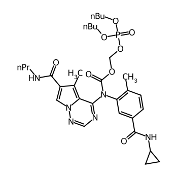 CCCCOP(=O)(OCCCC)OCOC(=O)N(c1cc(C(=O)NC2CC2)ccc1C)c1ncnn2cc(C(=O)NCCC)c(C)c12